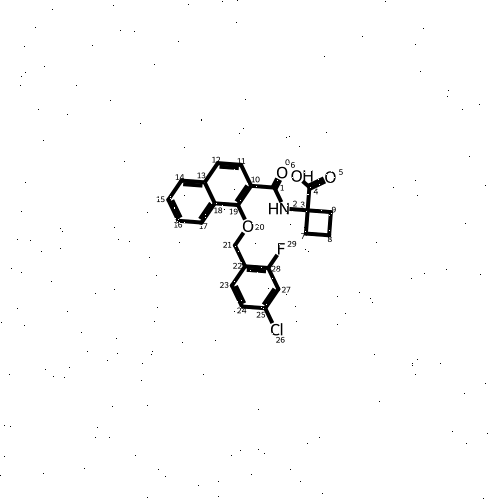 O=C(NC1(C(=O)O)CCC1)c1ccc2ccccc2c1OCc1ccc(Cl)cc1F